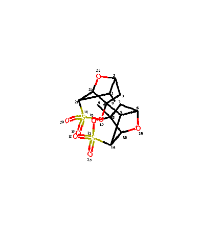 CC1C2CC3(C4C5CC6(C)OS(=O)(=O)C4C6O5)OS(=O)(=O)C1C3O2